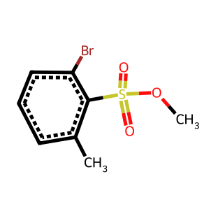 COS(=O)(=O)c1c(C)cccc1Br